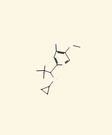 COc1cnc(C(NC2CC2)C(F)(F)F)cc1Cl